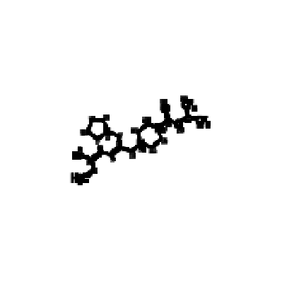 C=C/C(Br)=C\C=C(/CN1CCCC1)CN1CCN(C(=O)OC(C(F)(F)F)C(F)(F)F)CC1